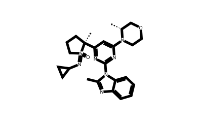 Cc1nc2ccccc2n1-c1nc(N2CCOC[C@H]2C)cc([C@]2(C)CCCS2(=O)=NC2CC2)n1